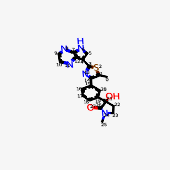 Cc1sc(-c2c[nH]c3nccnc23)nc1-c1cccc([C@]2(O)CCN(C)C2=O)c1